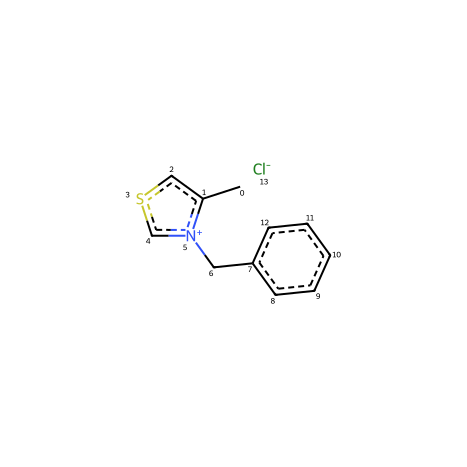 Cc1csc[n+]1Cc1ccccc1.[Cl-]